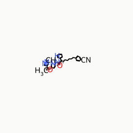 C[C@H](Oc1ccc(NC(=O)[C@H](CCCCCCc2ccc(C#N)cc2)c2ccccc2)nc1)c1cnn(C)c1